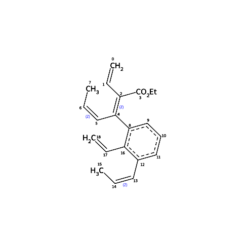 C=C/C(C(=O)OCC)=C(\C=C/C)c1cccc(/C=C\C)c1C=C